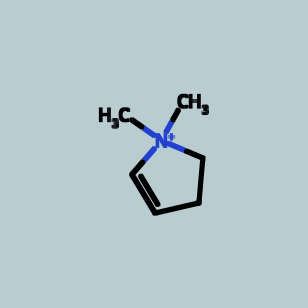 C[N+]1(C)C=CCC1